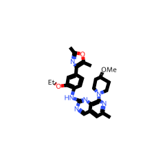 CCOc1cc(-c2nc(C)oc2C)ccc1Nc1ncc2cc(C)nc(N3CCC(OC)CC3)c2n1